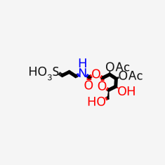 CC(=O)O[C@H]1[C@H](O)[C@@H](CO)OC(OC(=O)NCCCS(=O)(=O)O)[C@@H]1OC(C)=O